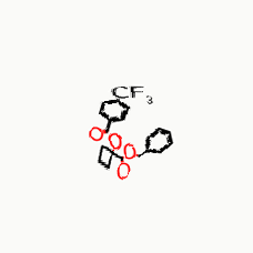 O=C(OC1(C(=O)OCc2ccccc2)CCC1)c1ccc(C(F)(F)F)cc1